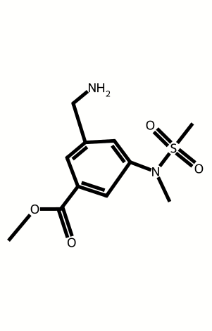 COC(=O)c1cc(CN)cc(N(C)S(C)(=O)=O)c1